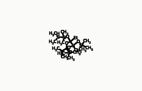 C=C(C)C(=O)OC(CC)(O[Si](C)(C)[SiH](C)C)[Si](C)(O[Si](C)(C)C)O[Si](C)(C)C